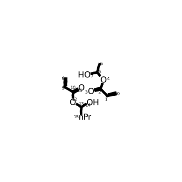 C=CC(=O)OC(C)O.C=CC(=O)OC(O)CCC